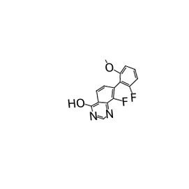 COc1cccc(F)c1-c1ccc2c(O)ncnc2c1F